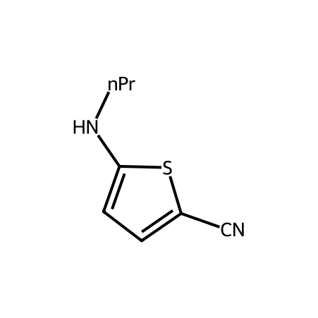 CCCNc1ccc(C#N)s1